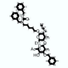 CCC1O[C@H](OCCCCCN(Cc2ccccc2)C(=O)OCc2ccccc2)C(N=[N+]=[N-])[C@@H](C)[C@@H]1O[C@@H]1OC(C(C)=O)[C@@H](O)C(OCc2ccccc2)[C@@H]1C